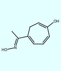 CC(=NO)C1=CC=CC(O)=CC1